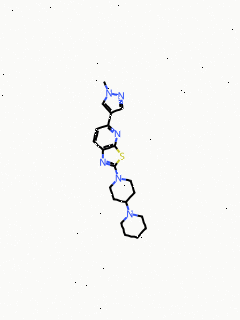 Cn1cc(-c2ccc3nc(N4CCC(N5CCCCC5)CC4)sc3n2)cn1